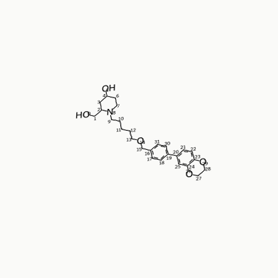 OCC1CC(O)CCN1CCCCCOCc1ccc(-c2ccc3c(c2)OCCO3)cc1